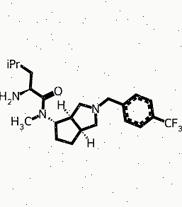 CC(C)C[C@H](N)C(=O)N(C)[C@H]1CC[C@@H]2CN(Cc3ccc(C(F)(F)F)cc3)C[C@@H]21